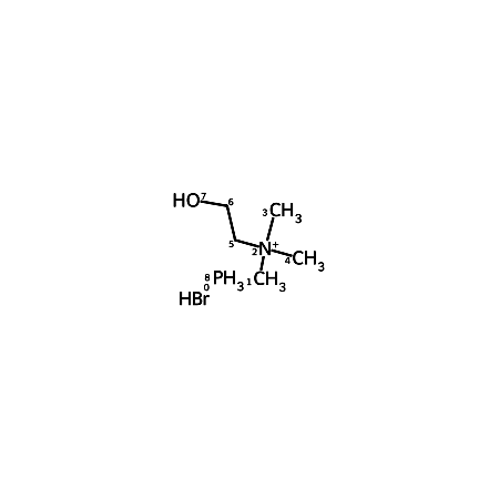 Br.C[N+](C)(C)CCO.P